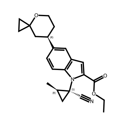 CCOC(=O)c1cc2cc([C@@H]3CCOC4(CC4)C3)ccc2n1[C@@]1(C#N)C[C@H]1C